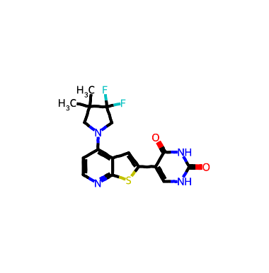 CC1(C)CN(c2ccnc3sc(-c4c[nH]c(=O)[nH]c4=O)cc23)CC1(F)F